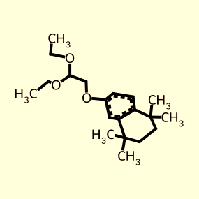 CCOC(COc1ccc2c(c1)C(C)(C)CCC2(C)C)OCC